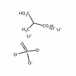 CC(C(=O)O)C(=O)O.O=P([O-])([O-])[O-].[Li+].[Li+].[Li+]